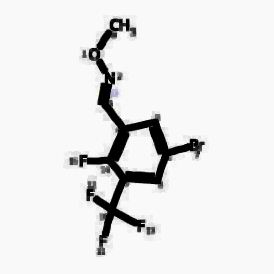 CO/N=C/c1cc(Br)cc(C(F)(F)F)c1F